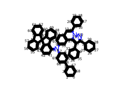 c1ccc(-c2ccc(N(c3ccc4cc(-c5ccccc5)n5nc(-c6ccccc6)c(-c6ccccc6)c5c4c3)c3cccc4c3-c3ccccc3C43c4ccccc4-c4ccccc43)cc2)cc1